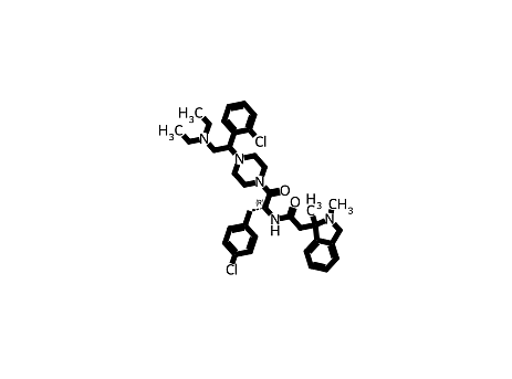 CCN(CC)CC(c1ccccc1Cl)N1CCN(C(=O)[C@@H](Cc2ccc(Cl)cc2)NC(=O)CC2(C)c3ccccc3CN2C)CC1